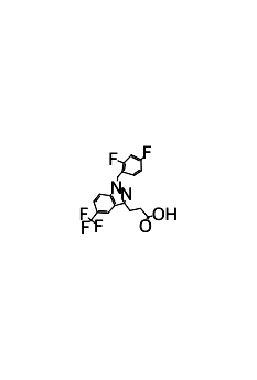 O=C(O)CCc1nn(Cc2ccc(F)cc2F)c2ccc(C(F)(F)F)cc12